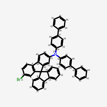 Brc1ccc2c(c1)C1(c3ccccc3-c3ccccc31)c1cc(N(c3ccc(-c4ccccc4)cc3)c3ccc(-c4ccccc4)cc3)ccc1-2